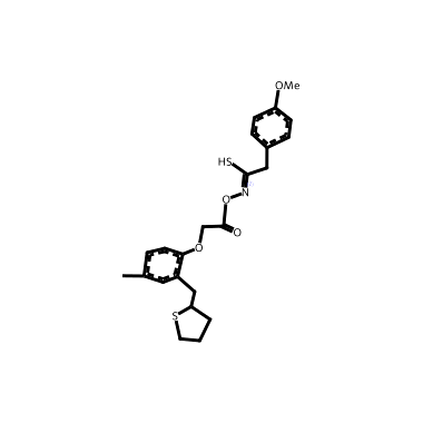 COc1ccc(C/C(S)=N/OC(=O)COc2ccc(C)cc2CC2CCCS2)cc1